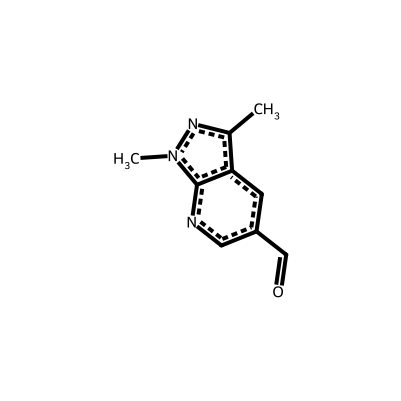 Cc1nn(C)c2ncc(C=O)cc12